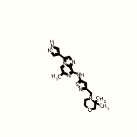 Cc1cn2c(-c3cn[nH]c3)cnc2c(Nc2cc(CN3CCOCC3(C)C)ns2)n1